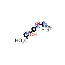 CC(C)Cn1ncc(-c2nc(-c3ccc(C(O)CN4CCCC(CC(=O)O)C4)cc3)no2)c1C(F)(F)F